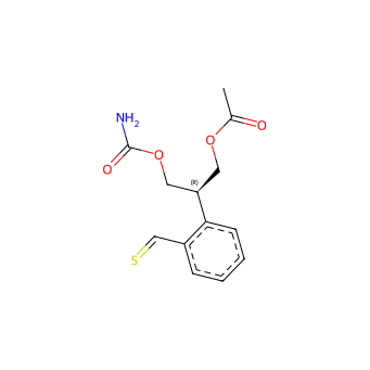 CC(=O)OC[C@H](COC(N)=O)c1ccccc1C=S